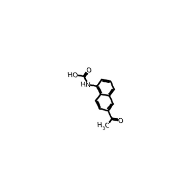 CC(=O)c1ccc2c(NC(=O)O)cccc2c1